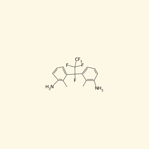 Cc1c(N)cccc1C(F)(c1cccc(N)c1C)C(F)(F)C(F)(F)F